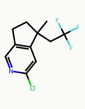 CC1(CC(F)(F)F)CCc2cnc(Cl)cc21